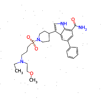 CCN(CCCS(=O)(=O)N1CCC(c2c[nH]c3c(C(N)=O)cc(-c4ccccc4)cc23)CC1)CCOC